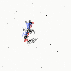 CCCCCCCCCCCCC(CCCCCCCCCC)COC(=O)c1ccc(NC(=O)NC2CC(C)(C)CC(C)(CNC(=O)Nc3nc(=O)cc(C)[nH]3)C2)cc1